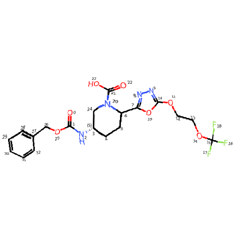 O=C(N[C@H]1CCC(c2nnc(OCCOC(F)(F)F)o2)N(C(=O)O)C1)OCc1ccccc1